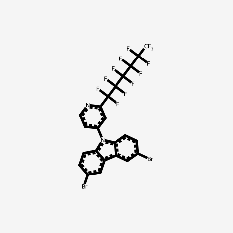 FC(F)(F)C(F)(F)C(F)(F)C(F)(F)C(F)(F)C(F)(F)c1cc(-n2c3ccc(Br)cc3c3cc(Br)ccc32)ccn1